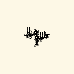 Cc1ccc(CNC(=O)c2cc(-c3ncccc3COC(=O)[C@@H](N)C(C)C)ccc2OCC(C)C)cc1F